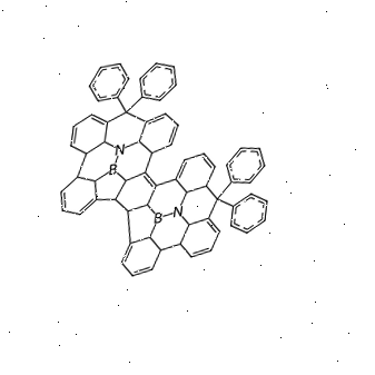 C1=CC2C3=C4C5=CC=CC6C5N5B7C8C(=CC=CC8C8C=CC=C(C85)C6(c5ccccc5)c5ccccc5)C(C74)C4C5=CC=CC6C5B(C34)N3C2C(=C1)C(c1ccccc1)(c1ccccc1)C1=CC=CC6C13